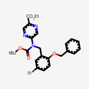 CCOC(=O)c1cnc(N(Cc2cc(Br)ccc2OCc2ccccc2)C(=O)OC(C)(C)C)cn1